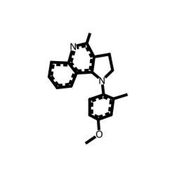 COc1ccc(N2CCc3c(C)nc4ccccc4c32)c(C)c1